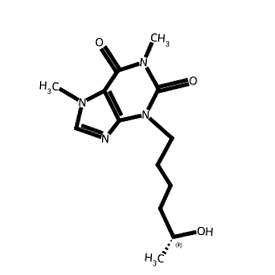 C[C@@H](O)CCCCn1c(=O)n(C)c(=O)c2c1ncn2C